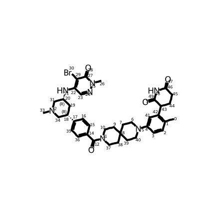 Cc1ccc(N2CCC3(CCN(C(=O)c4ccc([C@H]5C[C@@H](Nc6cnn(C)c(=O)c6Br)CN(C)C5)cc4)CC3)CC2)cc1C1CCC(=O)NC1=O